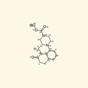 CN1C(=O)CCc2cccc(N3CCN(C(=O)OC(C)(C)C)CC3)c21